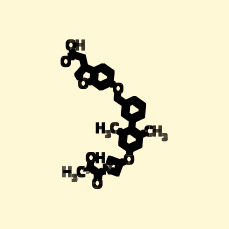 Cc1cc(OC2CN(C(=O)[C@H](C)O)C2)cc(C)c1-c1cccc(COc2ccc3c(c2)OCC3CC(=O)O)c1